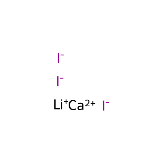 [Ca+2].[I-].[I-].[I-].[Li+]